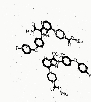 CC(C)(C)OC(=O)N1CCN(c2ccnc3c(C(N)=O)n(-c4ccc(Oc5ccc(F)cc5)cc4)nc23)CC1.CCOC(=O)c1c2nccc(N3CCN(C(=O)OC(C)(C)C)CC3)c2nn1-c1ccc(Oc2ccc(F)cc2)cc1